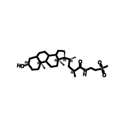 C[C@H](C[C@H](C)C(=O)NCCS(C)(=O)=O)[C@H]1CCC2C3CCC4C[C@H](O)CC[C@]4(C)C3CC[C@@]21C